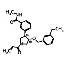 C=CC(=O)N1C[C@@H](OCc2cccc(CC)c2)[C@H](c2cccc(C(=O)NC)c2)C1